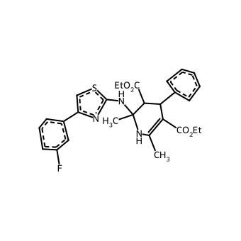 CCOC(=O)C1=C(C)NC(C)(Nc2nc(-c3cccc(F)c3)cs2)C(C(=O)OCC)C1c1ccccc1